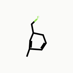 CC1=CC(CF)CC=C1